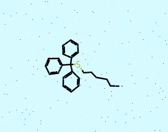 [CH2]CCCCCSC(c1ccccc1)(c1ccccc1)c1ccccc1